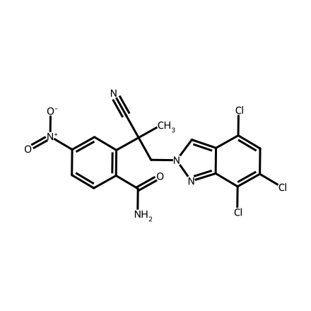 CC(C#N)(Cn1cc2c(Cl)cc(Cl)c(Cl)c2n1)c1cc([N+](=O)[O-])ccc1C(N)=O